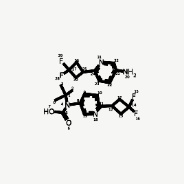 CC(C)(C)N(C(=O)O)c1ccc(C2CC(F)(F)C2)nc1.Nc1ccc(C2CC(F)(F)C2)nc1